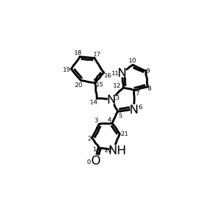 O=c1ccc(-c2nc3cccnc3n2Cc2ccccc2)c[nH]1